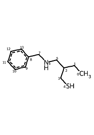 CCC(CS)CNCc1ccccc1